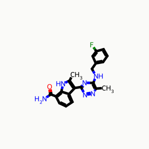 Cc1nnc(-c2c(C)[nH]c3c(C(N)=O)cccc23)nc1NCc1cccc(F)c1